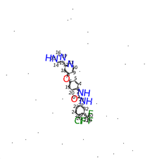 O=C(Nc1ccc(Oc2ccnc(-c3c[nH]cn3)c2)cc1)Nc1ccc(Cl)c(C(F)(F)F)c1